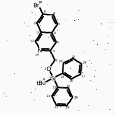 CC(C)(C)[Si](OCc1cc2ccc(Br)cc2cn1)(c1ccccc1)c1ccccc1